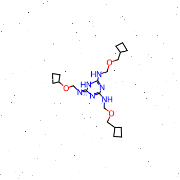 C1CC(COCNc2nc(NCOCC3CCC3)[nH]/c(=N\COC3CCC3)n2)C1